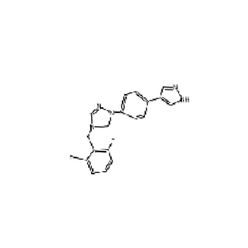 Fc1cccc(F)c1CN1C=NN(c2ccc(-c3cn[nH]c3)cc2)C1